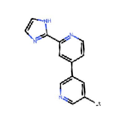 CCc1cncc(-c2ccnc(-c3ncc[nH]3)c2)c1